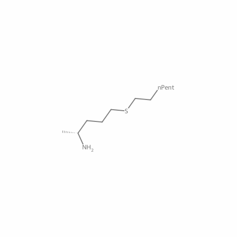 CCCCCCCSCCC[C@@H](C)N